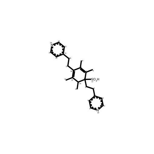 CC1=C(C)C(CCc2ccncc2)(S(=O)(=O)O)C(C)C(C)=C1CCc1ccncc1